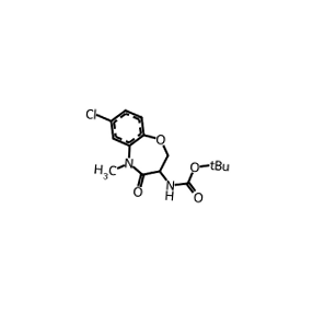 CN1C(=O)C(NC(=O)OC(C)(C)C)COc2ccc(Cl)cc21